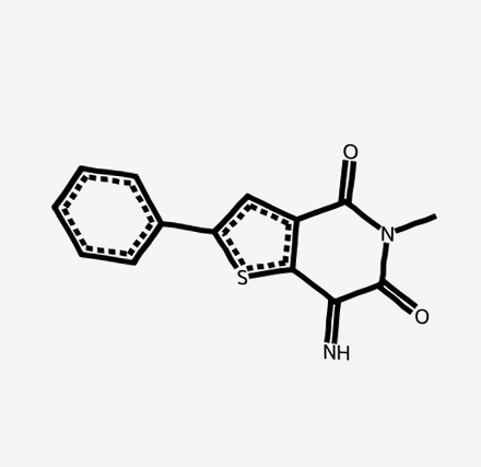 CN1C(=O)C(=N)c2sc(-c3ccccc3)cc2C1=O